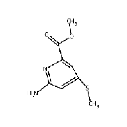 COC(=O)c1cc(SC)cc(N)n1